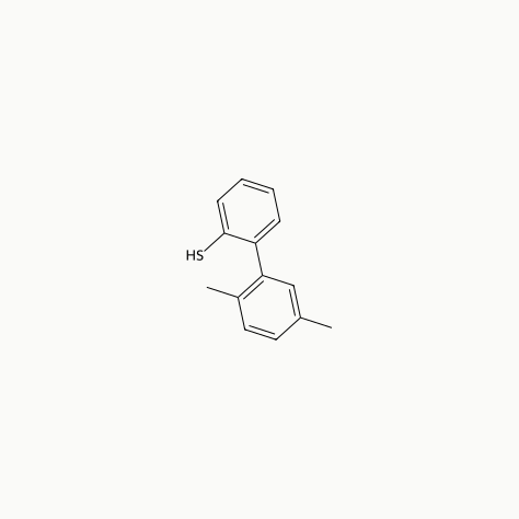 Cc1ccc(C)c(-c2ccccc2S)c1